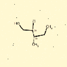 CC[C@H](C)[C@H](Cl)CO